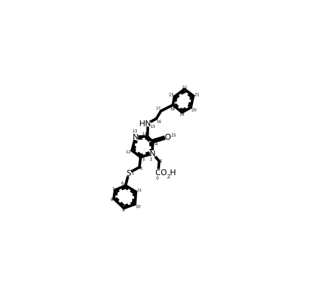 O=C(O)Cn1c(CSc2ccccc2)cnc(NCCc2ccccc2)c1=O